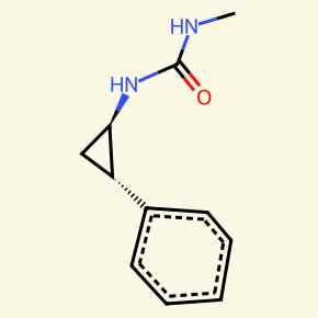 CNC(=O)N[C@@H]1C[C@H]1c1ccccc1